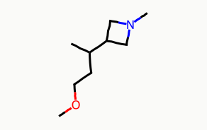 COCCC(C)C1CN(C)C1